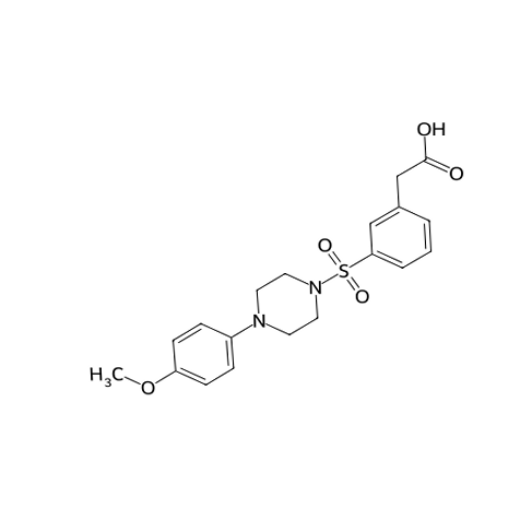 COc1ccc(N2CCN(S(=O)(=O)c3cccc(CC(=O)O)c3)CC2)cc1